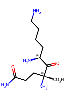 NCCCC[C@H](N)C(=O)[C@](N)(CCC(N)=O)C(=O)O